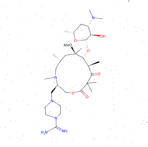 CO[C@]1(C)C[C@@H](C)CN(C)[C@H](CN2CCN(C(=N)N)CC2)COC(=O)C(C)(C)C(=O)[C@H](C)[C@H]1O[C@@H]1O[C@H](C)C[C@H](N(C)C)[C@H]1O